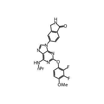 CCCNc1nc(Oc2ccc(OC)c(F)c2F)nc2c1ncn2-c1ccc2c(c1)CNC2=O